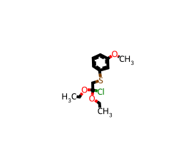 CCOC(Cl)(CSc1cccc(OC)c1)OCC